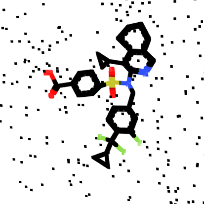 O=C(O)c1ccc(S(=O)(=O)N(Cc2ccc(C(F)(F)C3CC3)c(F)c2)c2ncc3ccccc3c2C2CC2)cc1